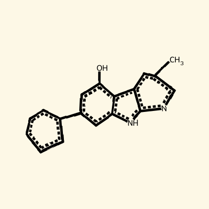 Cc1cnc2[nH]c3cc(-c4ccccc4)cc(O)c3c2c1